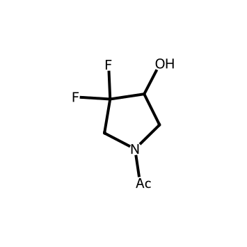 CC(=O)N1CC(O)C(F)(F)C1